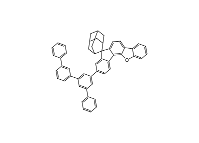 c1ccc(-c2cccc(-c3cc(-c4ccccc4)cc(-c4ccc5c(c4)C4(c6ccc7c(oc8ccccc87)c6-5)C5CC6CC(C5)CC4C6)c3)c2)cc1